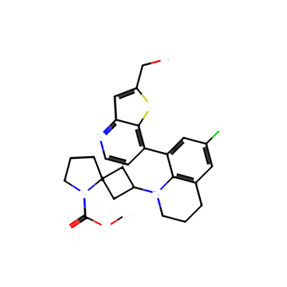 CC(C)(C)OC(=O)N1CCCC12CC(N1CCCc3cc(Cl)cc(-c4ccnc5cc(CO)sc45)c31)C2